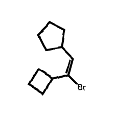 Br/C(=C/C1CCCC1)C1CCC1